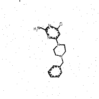 Nc1nc(Cl)cc(N2CCN(Cc3ccccc3)CC2)n1